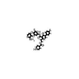 Nc1nccc(Oc2ccc(NC(=O)C3=C(CCOC(=O)C4CCNCC4)N=CC(c4ccc(F)cc4)C3=O)cc2F)c1Cl